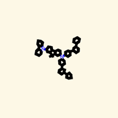 CC1(C)c2cc(N(c3ccc(-c4cccc(-c5ccccc5)c4)cc3)c3ccc(-c4cccc(-c5ccccc5)c4)cc3)ccc2-c2ccc(-n3c4ccccc4c4ccccc43)cc21